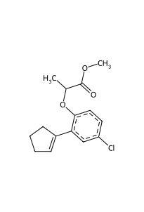 COC(=O)C(C)Oc1ccc(Cl)cc1C1=CCCC1